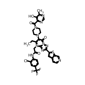 CCc1c(N2CCN(C(=O)c3ncnc(C)c3O)CC2)c(=O)n2nc(-c3cc4ccncc4s3)nc2n1CC(=O)Nc1ccc(C(F)(F)F)cc1Cl